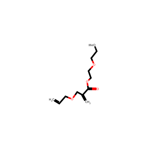 C=CCOCC(=C)C(=O)OCCOCCOC